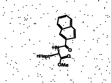 CCCCCCC[C@@H](NC(=O)c1ccc2ccccc2c1)C(=O)OC